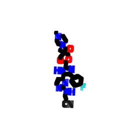 CN1CCN(C(=O)C2(C)COC(c3nc(-c4ccc(F)cc4)c(-c4ccnc(NCCC#N)n4)[nH]3)OC2)CC1